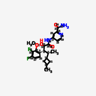 COc1c([C@@H]([C@H](C)C2CC(C)C2)[C@@H](O)C(=O)Nc2ccnc(C(N)=O)c2)ccc(F)c1F